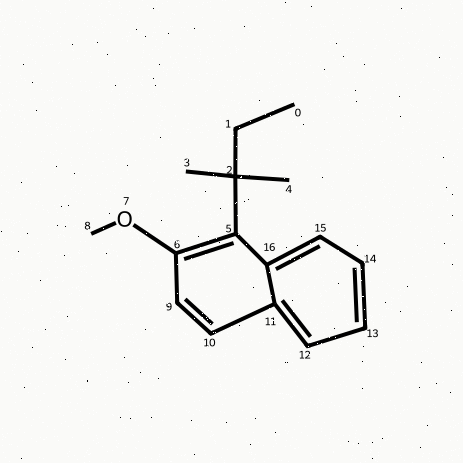 CCC(C)(C)c1c(OC)ccc2ccccc12